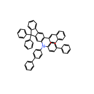 c1ccc(-c2ccc(N(c3ccc(-c4ccccc4)cc3)c3cc4c(cc3-c3ccc5ccccc5c3)-c3ccccc3C4(c3ccccc3)c3ccccc3)cc2)cc1